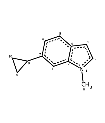 Cn1ccc2ccc(C3CC3)cc21